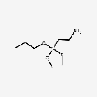 CCCO[Si](CCN)(OC)OC